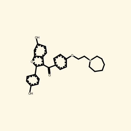 O=C(c1ccc(OCCN2CCCCCC2)cc1)c1c(-c2ccc(O)cc2)oc2cc(O)ccc12